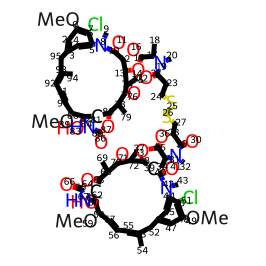 COc1cc2cc(c1Cl)N(C)C(=O)CC(OC(=O)C(C)N(C)C(=O)CCSSCCC(=O)N(C)C(C)C(=O)OC1CC(=O)N(C)c3cc(cc(OC)c3Cl)C/C(C)=C/C=C/C(OC)C3(O)CC(OC(=O)N3)C(C)C3OC13C)C1(C)OC1C(C)C1CC(O)(NC(=O)O1)C(OC)/C=C/C=C(\C)C2